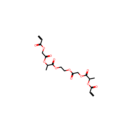 C=CC(=O)OCC(=O)OC(C)C(=O)OCCOC(=O)COC(=O)C(C)OC(=O)C=C